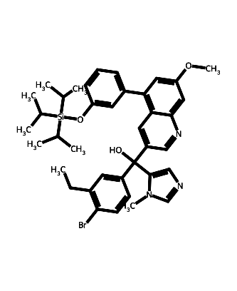 CCc1cc(C(O)(c2cnc3cc(OC)cc(-c4cccc(O[Si](C(C)C)(C(C)C)C(C)C)c4)c3c2)c2cncn2C)ccc1Br